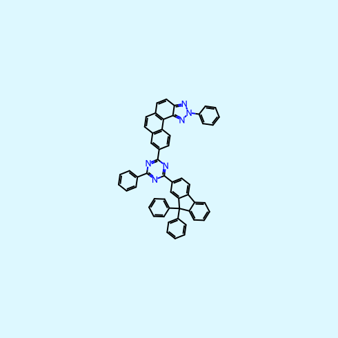 c1ccc(-c2nc(-c3ccc4c(c3)C(c3ccccc3)(c3ccccc3)c3ccccc3-4)nc(-c3ccc4c(ccc5ccc6nn(-c7ccccc7)nc6c54)c3)n2)cc1